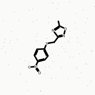 Cc1nc(CSc2ccc([N+](=O)[O-])cc2)no1